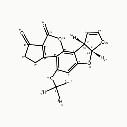 [2H]C([2H])([2H])Oc1cc2c(c3oc(=O)c4c(c13)CCC4=O)[C@@H]1C=CO[C@@H]1O2